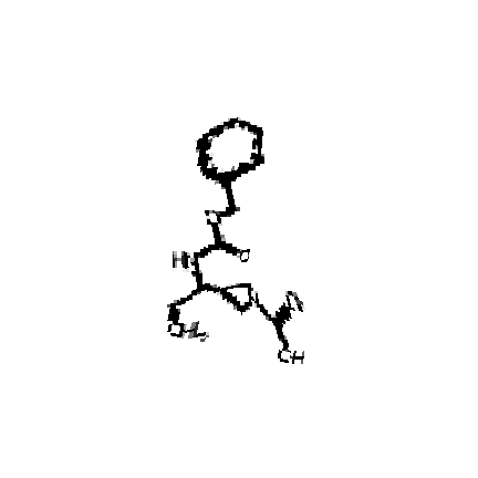 C=CC(NC(=O)OCc1ccccc1)C1CN(C(=O)O)C1